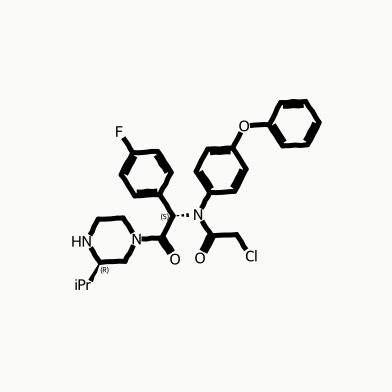 CC(C)[C@@H]1CN(C(=O)[C@H](c2ccc(F)cc2)N(C(=O)CCl)c2ccc(Oc3ccccc3)cc2)CCN1